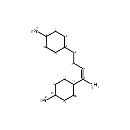 CCCC1CCC(CCC=C(C)C2CCC(CCC)CC2)CC1